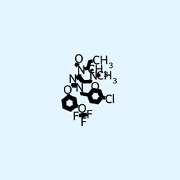 CCCN(C=O)c1nc(Oc2cccc(OC(F)(F)F)c2)n(Cc2ccc(Cl)cc2)c1C(=O)N(C)C